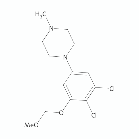 COCOc1cc(N2CCN(C)CC2)cc(Cl)c1Cl